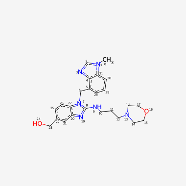 Cn1cnc2c(Cn3c(NCCCN4CCOCC4)nc4cc(CO)ccc43)cccc21